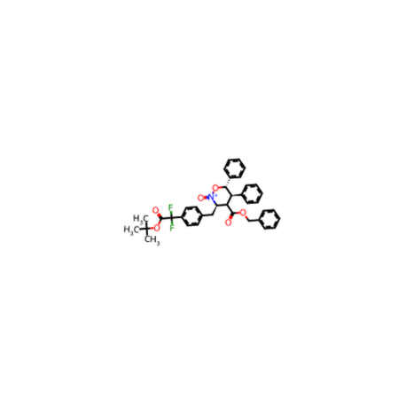 CC(C)(C)OC(=O)C(F)(F)c1ccc(C[C@@H]2C(C(=O)OCc3ccccc3)[C@H](c3ccccc3)[C@@H](c3ccccc3)O[N+]2=O)cc1